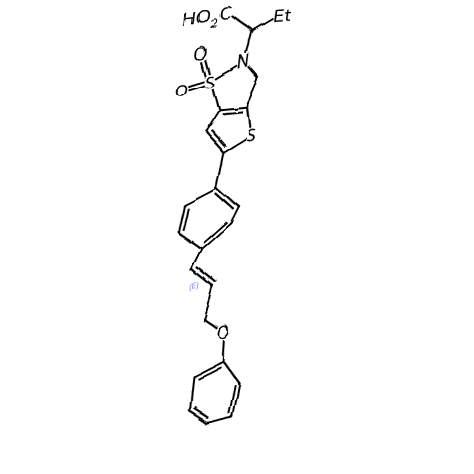 CCC(C(=O)O)N1Cc2sc(-c3ccc(/C=C/COc4ccccc4)cc3)cc2S1(=O)=O